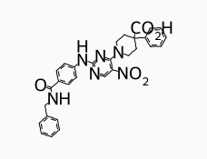 O=C(NCc1ccccc1)c1ccc(Nc2ncc([N+](=O)[O-])c(N3CCC(C(=O)O)(c4ccccc4)CC3)n2)cc1